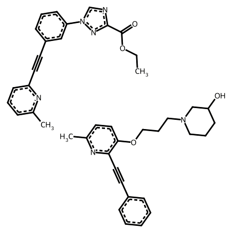 CCOC(=O)c1ncn(-c2cccc(C#Cc3cccc(C)n3)c2)n1.Cc1ccc(OCCCN2CCCC(O)C2)c(C#Cc2ccccc2)n1